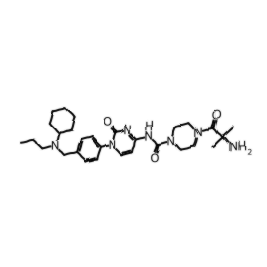 CCCN(Cc1ccc(-n2ccc(NC(=O)N3CCN(C(=O)C(C)(C)N)CC3)nc2=O)cc1)C1CCCCC1